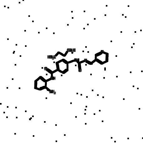 Nc1ccccc1NC(=O)c1ccc(NC(=O)N=Cc2cccnc2)cc1.O=C(O)CCC(=O)O